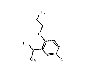 CCCOc1ccc(Cl)cc1C(C)C